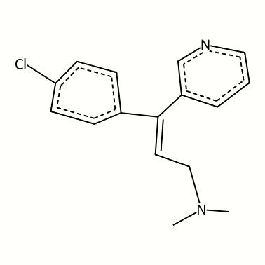 CN(C)CC=C(c1ccc(Cl)cc1)c1cccnc1